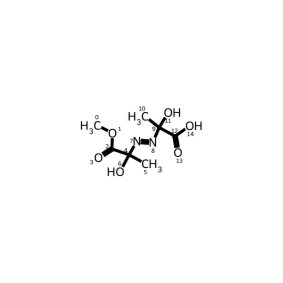 COC(=O)C(C)(O)N=NC(C)(O)C(=O)O